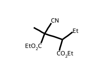 CCOC(=O)C(CC)C(C)(C#N)C(=O)OCC